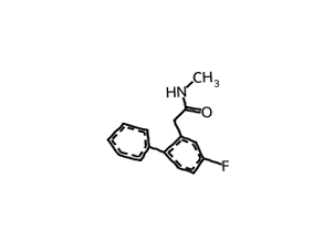 CNC(=O)Cc1cc(F)ccc1-c1ccccc1